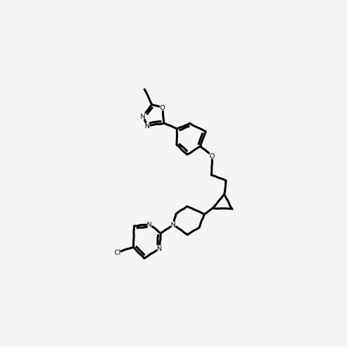 Cc1nnc(-c2ccc(OCCC3CC3C3CCN(c4ncc(Cl)cn4)CC3)cc2)o1